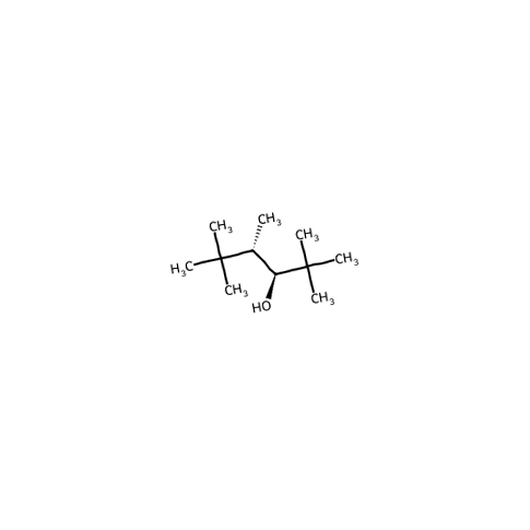 C[C@H]([C@H](O)C(C)(C)C)C(C)(C)C